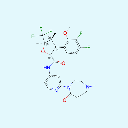 COc1c([C@H]2[C@H](C(=O)Nc3ccnc(N4CCN(C)CCC4=O)c3)O[C@@](C)(C(F)(F)F)[C@H]2C)ccc(F)c1F